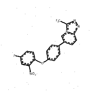 O=[N+]([O-])c1cc(F)ccc1Oc1ccc(-c2ccc3nnc(C(F)(F)F)n3c2)cc1